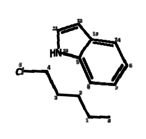 CCCCCCl.c1ccc2[nH]ccc2c1